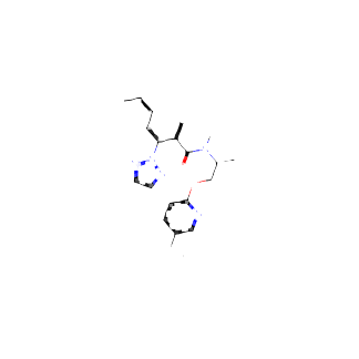 C=C(C(=O)N(CC)[C@@H](C)COc1ccc(C(F)(F)F)cn1)/C(=C\C=C/C)n1nccn1